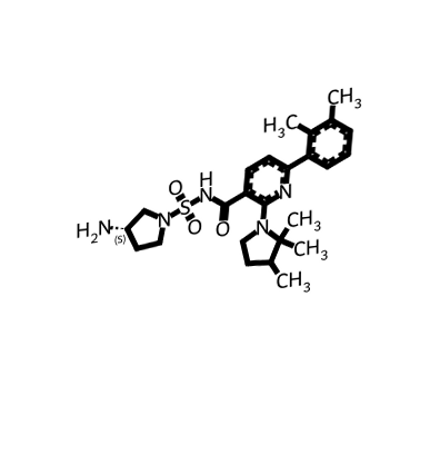 Cc1cccc(-c2ccc(C(=O)NS(=O)(=O)N3CC[C@H](N)C3)c(N3CCC(C)C3(C)C)n2)c1C